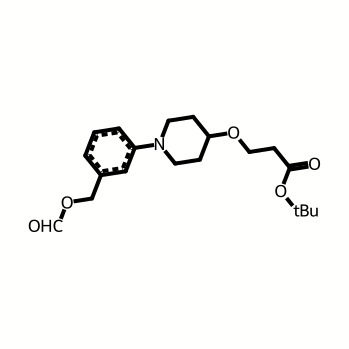 CC(C)(C)OC(=O)CCOC1CCN(c2cccc(COC=O)c2)CC1